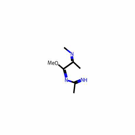 C/N=C(C)\C(=N/C(C)=N)OC